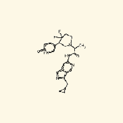 CC(C(=O)Nc1cc2cnn(CC3CC3)c2cn1)N1CCC(F)(F)C(c2ccc(=O)[nH]c2)C1